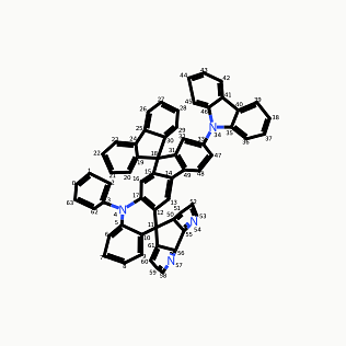 c1ccc(N2c3ccccc3C3(c4cc5c(cc42)C2(c4ccccc4-c4ccccc42)c2cc(-n4c6ccccc6c6ccccc64)ccc2-5)c2cccnc2-c2ncccc23)cc1